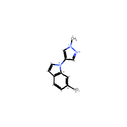 Cn1cc(-n2ccc3ccc([N+](=O)[O-])cc32)cn1